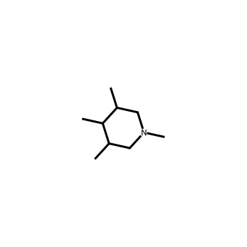 CC1CN(C)CC(C)C1C